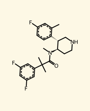 Cc1cc(F)ccc1[C@@H]1CNCC[C@H]1N(C)C(=O)C(C)(C)c1cc(F)cc(F)c1